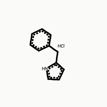 Cl.c1ccc(Cc2ccc[nH]2)cc1